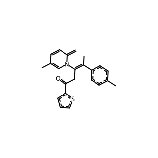 C=C1C=CC(C)=CN1/C(CC(=O)c1cccs1)=C(\C)c1ccc(C)cc1